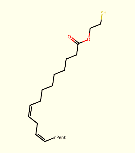 CCCCC/C=C\C/C=C\CCCCCCCC(=O)OCCS